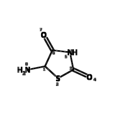 NC1SC(=O)NC1=O